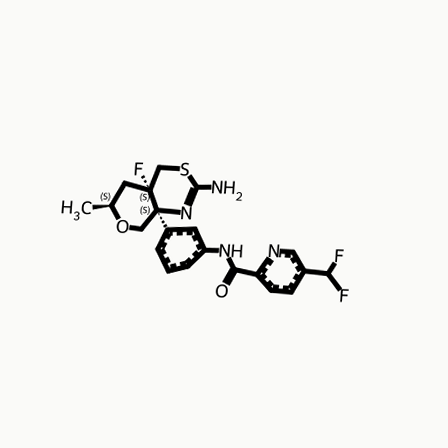 C[C@H]1C[C@@]2(F)CSC(N)=N[C@@]2(c2cccc(NC(=O)c3ccc(C(F)F)cn3)c2)CO1